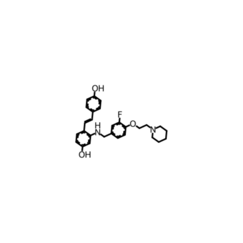 Oc1ccc(C=Cc2ccc(O)cc2NCc2ccc(OCCN3CCCCC3)c(F)c2)cc1